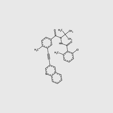 Cc1ccc(C(=O)N(NC(=O)c2c(C)cccc2Cl)C(C)(C)C)cc1C#Cc1cnc2ccccc2c1